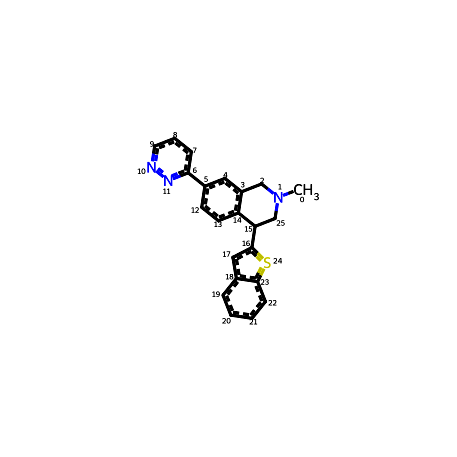 CN1Cc2cc(-c3cccnn3)ccc2C(c2cc3ccccc3s2)C1